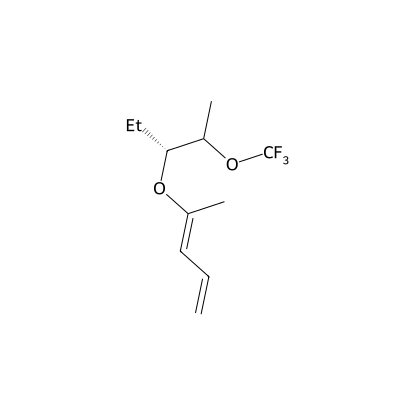 C=C/C=C(\C)O[C@H](CC)C(C)OC(F)(F)F